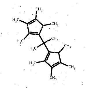 CC1=C(C)C(C)C(C(C)(C)C2=C(C)C(C)=C(C)C2C)=C1C